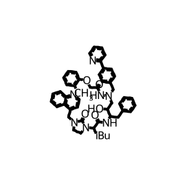 CCC(C)C(C(=O)NC(Cc1ccccc1)C(O)CN(Cc1ccc(-c2ccccn2)cc1)NC(=O)COc1ccccc1C)N1CCN(Cc2ccnc3ccccc23)C1=O